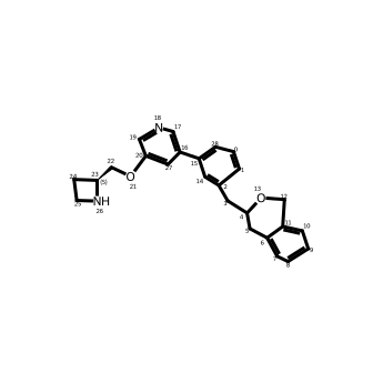 c1cc(CC2Cc3ccccc3CO2)cc(-c2cncc(OC[C@@H]3CCN3)c2)c1